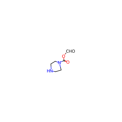 O=COC(=O)N1CCNCC1